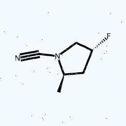 C[C@@H]1C[C@@H](F)CN1C#N